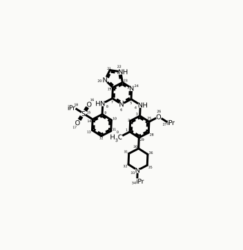 Cc1cc(Nc2nc(Nc3ccccc3S(=O)(=O)C(C)C)c3nc[nH]c3n2)c(OC(C)C)cc1C1CCN(C(C)C)CC1